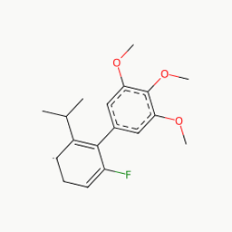 COc1cc(C2=C(C(C)C)[CH]CC=C2F)cc(OC)c1OC